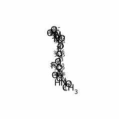 CC(=O)NC[C@H]1CN(c2ccc(OCc3ccc(CO[C@@H]4COc5nc([N+](=O)[O-])cn5C4)cc3)c(F)c2)C(=O)O1